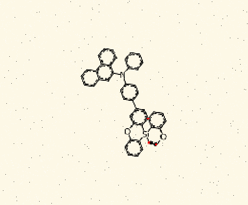 c1ccc(N(c2ccc(-c3ccc4c(c3)Oc3ccccc3[Si]43c4ccccc4Oc4ccccc43)cc2)c2cc3ccccc3c3ccccc23)cc1